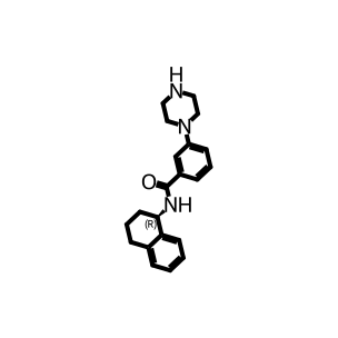 O=C(N[C@@H]1CCCc2ccccc21)c1cccc(N2CCNCC2)c1